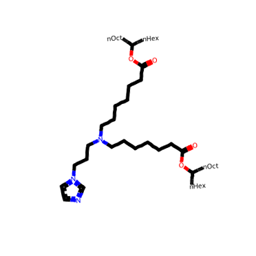 CCCCCCCCC(CCCCCC)OC(=O)CCCCCCN(CCCCCCC(=O)OC(CCCCCC)CCCCCCCC)CCCn1ccnc1